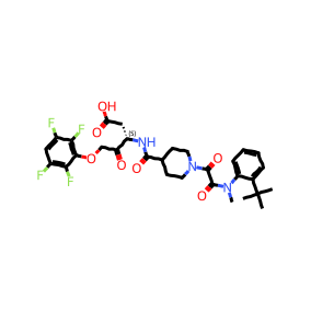 CN(C(=O)C(=O)N1CCC(C(=O)N[C@@H](CC(=O)O)C(=O)COc2c(F)c(F)cc(F)c2F)CC1)c1ccccc1C(C)(C)C